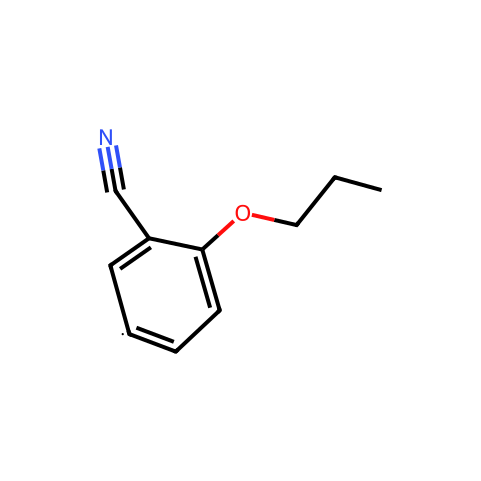 CCCOc1cc[c]cc1C#N